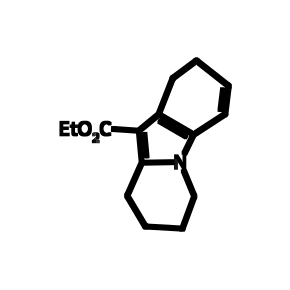 CCOC(=O)c1c2c(n3c1CCCC3)C=CCC2